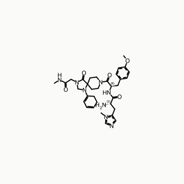 CNC(=O)CN1CN(C2=CC=CCC2)C2(CCN(C(=O)[C@@H](Cc3ccc(OC)cc3)NC(=O)[C@@H](N)Cc3cncn3C)CC2)C1=O